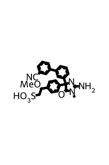 COC(CS(=O)(=O)O)c1ccc(C2(c3cccc(-c4cccc(C#N)c4)c3)N=C(N)N(C)C2=O)cc1